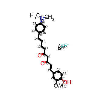 COc1cc(C=CC(=O)CC(=O)C=CC=Cc2ccc(N(C)C)cc2)ccc1O.[B+2].[F-].[F-]